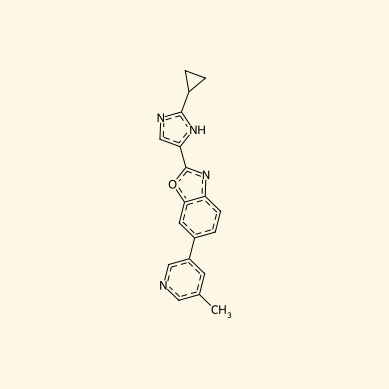 Cc1cncc(-c2ccc3nc(-c4cnc(C5CC5)[nH]4)oc3c2)c1